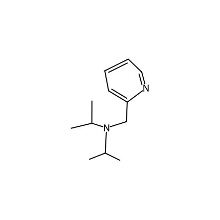 CC(C)N(Cc1ccccn1)C(C)C